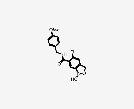 COc1ccc(CNC(=O)c2cc3c(cc2Cl)COB3O)cc1